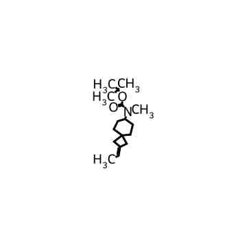 CC=C1CC2(CCC(N(C)C(=O)OC(C)(C)C)CC2)C1